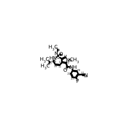 CCN=S1(=O)N[C@@H](C(C)C)C=Cc2c1cn(C)c2C(=O)Nc1ccc(F)c(C#N)c1